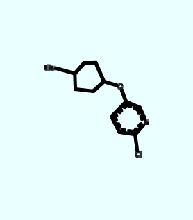 CC(C)(C)C1CCC(Oc2ccc(Cl)nc2)CC1